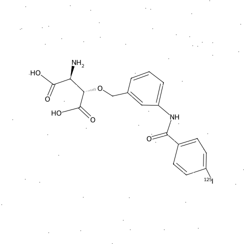 N[C@H](C(=O)O)[C@H](OCc1cccc(NC(=O)c2ccc([125I])cc2)c1)C(=O)O